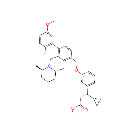 COC(=O)C[C@H](c1cccc(OCc2ccc(-c3cc(OC)ccc3F)c(CN3[C@H](C)CCC[C@H]3C)c2)c1)C1CC1